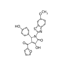 COc1ccc2nc(N3C(=O)C(O)=C(C(=O)c4ccco4)C3c3ccc(O)cc3)sc2c1